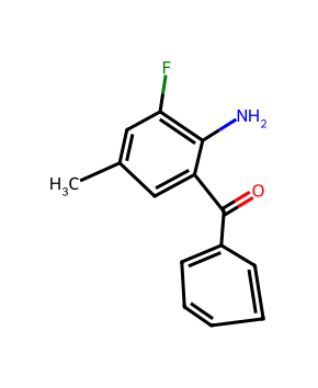 Cc1cc(F)c(N)c(C(=O)c2ccccc2)c1